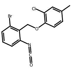 Cc1ccc(OCc2c(Br)cccc2N=C=O)c(Cl)c1